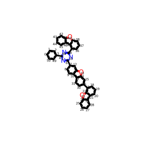 c1ccc(-c2nc(-c3ccc4c(c3)oc3cc(-c5cccc6c5oc5ccccc56)ccc34)nc(-c3cccc4oc5ccccc5c34)n2)cc1